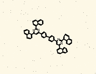 c1ccc2c(-c3cc(-c4ccc(-c5ccc(-c6cc(-c7cccc8ccccc78)nc(-c7cccc8ccccc78)n6)cc5)cc4)nc(-c4cccc5ccccc45)n3)cccc2c1